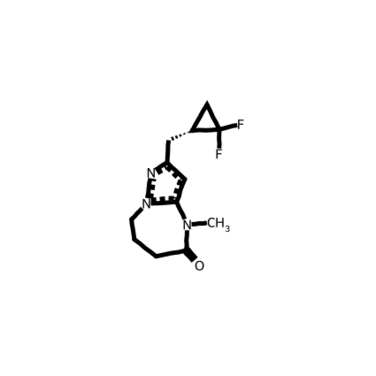 CN1C(=O)CCCn2nc(C[C@@H]3CC3(F)F)cc21